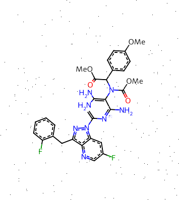 C=C(/N=C(/N)C(=C(N)N)N(C(=O)OC)C(C(=O)OC)c1ccc(OC)cc1)n1nc(Cc2ccccc2F)c2ncc(F)cc21